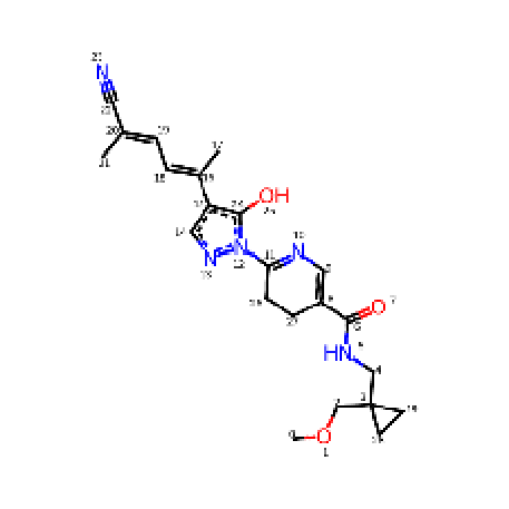 COCC1(CNC(=O)C2=CN=C(n3ncc(/C(C)=C/C=C(\C)C#N)c3O)CC2)CC1